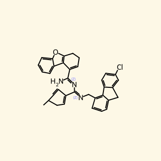 CC1C=CC(C(/N=C(\N)C2=CCCc3oc4ccccc4c32)=N/Cc2cccc3c2-c2ccc(Cl)cc2C3)=CC1